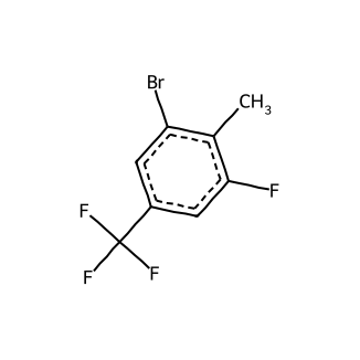 Cc1c(F)cc(C(F)(F)F)cc1Br